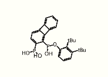 CC(C)(C)c1cccc(OP(O)c2c(P(O)O)ccc3c2-c2ccccc2-3)c1C(C)(C)C